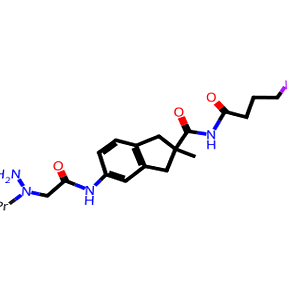 CC(C)N(N)CC(=O)Nc1ccc2c(c1)CC(C)(C(=O)NC(=O)CCCI)C2